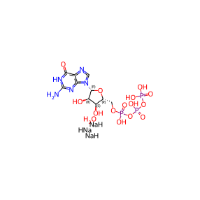 Nc1nc2c(ncn2[C@@H]2O[C@H](COP(=O)(O)OP(=O)(O)OP(=O)(O)O)[C@@H](O)[C@H]2O)c(=O)[nH]1.O.[NaH].[NaH].[NaH]